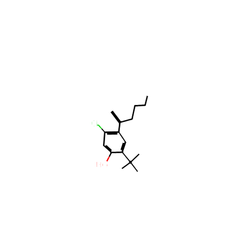 C=C(CCCC)c1cc(C(C)(C)C)c(O)cc1Cl